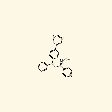 O/N=C(/CC(c1ccccc1)c1ccc(-c2cncnc2)cc1)c1ccncc1